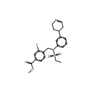 CCS(=O)(=O)N(Cc1ccc(C(=O)OC)cc1F)c1cccc(C2CC=NCC2)c1